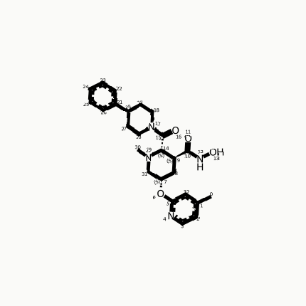 Cc1ccnc(O[C@H]2C[C@H](C(=O)NO)[C@@H](C(=O)N3CCC(c4ccccc4)CC3)N(C)C2)c1